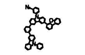 N#Cc1cccc(-n2c3ccc(-c4cccc(-c5ccc6c(c5)c5ccccc5n6-c5ccccc5)c4)cc3c3cc(-c4cccc5c4oc4ccccc45)ccc32)c1